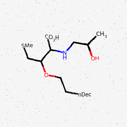 CCCCCCCCCCCCOC(CSC)C(NCC(C)O)C(=O)O